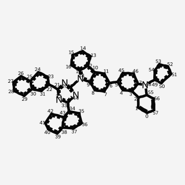 C1=CC2c3cc(-c4ccc5c(c4)c4ccccc4n5-c4nc(-c5ccc6ccccc6c5)nc(-c5cccc6ccccc56)n4)ccc3N(c3ccccc3)C2C=C1